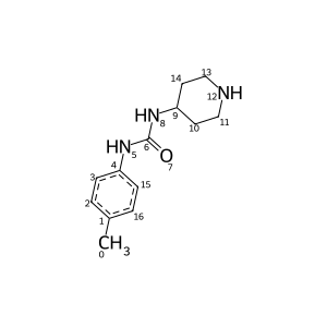 Cc1ccc(NC(=O)NC2CCNCC2)cc1